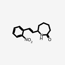 O=C1CCCCC(/C=C/c2ccccc2[N+](=O)[O-])N1